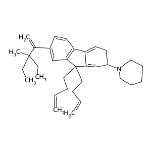 C=CCCC1(CCC=C)C2=CC(N3CCCCC3)CC=C2c2ccc(C(=C)C(C)(CC)CC)cc21